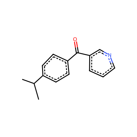 CC(C)c1ccc(C(=O)c2cccnc2)cc1